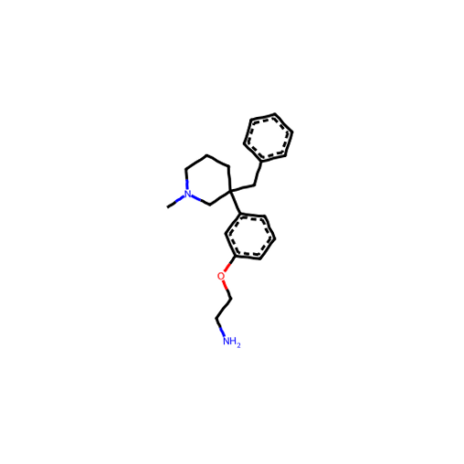 CN1CCCC(Cc2ccccc2)(c2cccc(OCCN)c2)C1